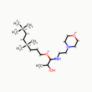 CC(O)C(NCCN1CCOCC1)OCCC[Si](C)(C)CC[Si](C)(C)C